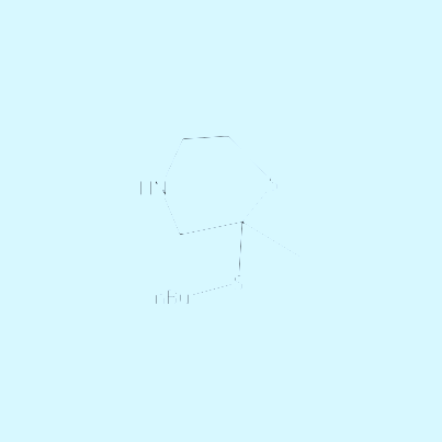 CCCCSC1(C)CNCCS1